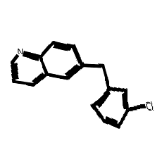 Clc1cccc(Cc2ccc3ncccc3c2)c1